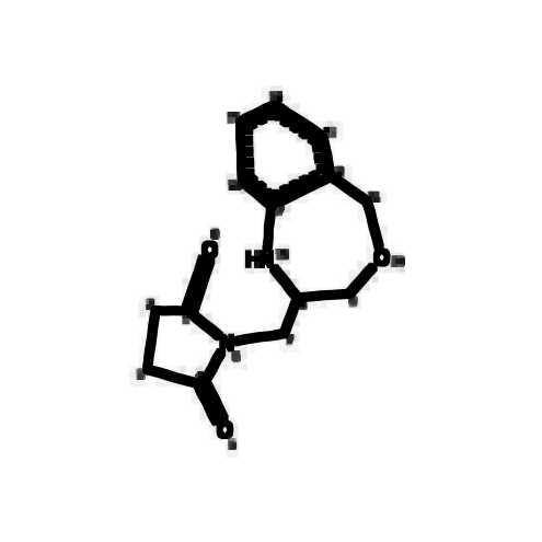 O=C1CCC(=O)N1CC1COCc2ccccc2N1